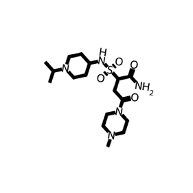 CC(C)N1CCC(NS(=O)(=O)C(CC(=O)N2CCN(C)CC2)C(N)=O)CC1